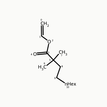 C=COC(=O)C(C)(C)CCCCCCCC